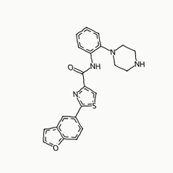 O=C(Nc1ccccc1N1CCNCC1)c1csc(-c2ccc3occc3c2)n1